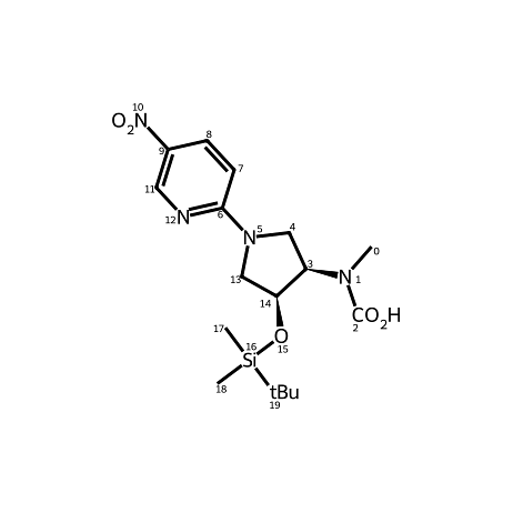 CN(C(=O)O)[C@@H]1CN(c2ccc([N+](=O)[O-])cn2)C[C@@H]1O[Si](C)(C)C(C)(C)C